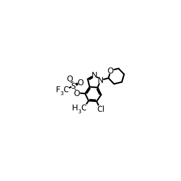 Cc1c(Cl)cc2c(cnn2C2CCCCO2)c1OS(=O)(=O)C(F)(F)F